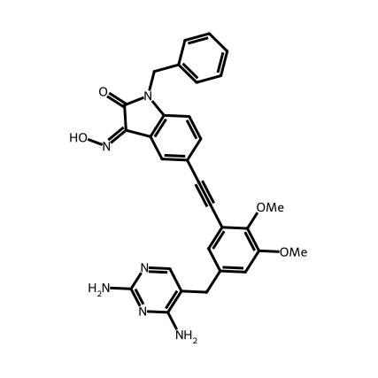 COc1cc(Cc2cnc(N)nc2N)cc(C#Cc2ccc3c(c2)/C(=N/O)C(=O)N3Cc2ccccc2)c1OC